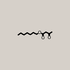 CCCCCCCOC(=O)CC(C)=O